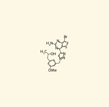 COc1cc(CC(C)O)cc(Cn2cc(-c3nc(N)nc4c(Br)csc34)nn2)c1